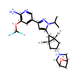 CC(C)n1nc(-c2cnc(N)c(OC(F)F)c2)cc1[C@H]1[C@@H]2C[C@H](N3CC4CC(C3)O4)C[C@@H]21